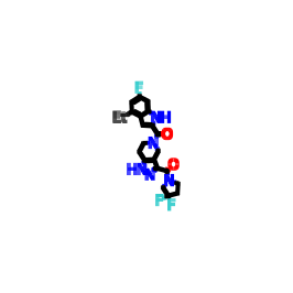 CCc1cc(F)cc2[nH]c(C(=O)N3CCc4[nH]nc(C(=O)N5CCC(F)(F)C5)c4C3)cc12